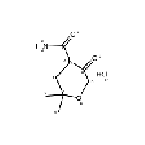 CC1(C)CN(C(N)=O)C(=O)CO1.Cl